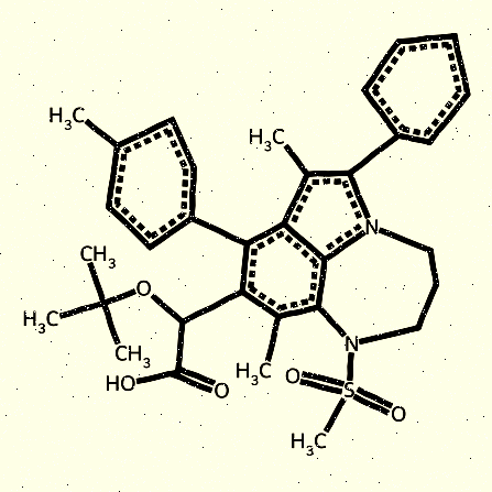 Cc1ccc(-c2c(C(OC(C)(C)C)C(=O)O)c(C)c3c4c2c(C)c(-c2ccccc2)n4CCCN3S(C)(=O)=O)cc1